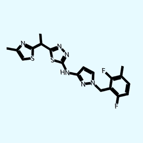 Cc1csc(C(C)c2nnc(Nc3ccn(Cc4c(F)ccc(C)c4F)n3)s2)n1